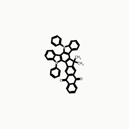 CC1(C)c2cc3c(cc2-c2c1c1c4ccccc4n(-c4ccccc4)c1c1c4ccccc4n(-c4ccccc4)c21)C(=O)c1ccccc1C3=O